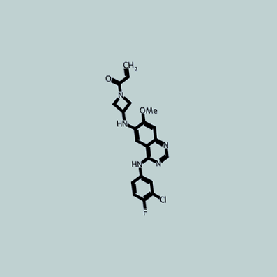 C=CC(=O)N1CC(Nc2cc3c(Nc4ccc(F)c(Cl)c4)ncnc3cc2OC)C1